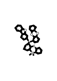 C[Si]1(C)c2ccccc2Sc2c(N(c3ccc4c(c3)oc3ccccc34)c3cccc4c3Oc3ccccc3O4)cccc21